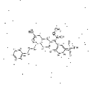 COC(=O)C(CSCCC(=O)O)c1cc(C(F)(F)F)ccc1CCCCCCCCc1ccccc1